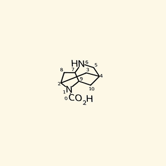 O=C(O)N1C2CC3CNC(C2)C1C3